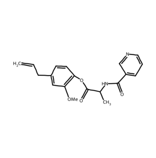 C=CCc1ccc(OC(=O)C(C)NC(=O)c2cccnc2)c(OC)c1